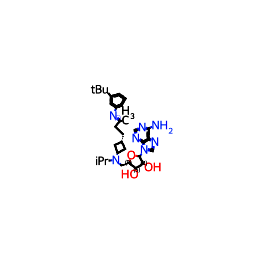 C/C(CC[C@H]1C[C@@H](N(C[C@H]2OC(n3cnc4c(N)ncnc43)[C@H](O)[C@@H]2O)C(C)C)C1)=N\c1cccc(C(C)(C)C)c1